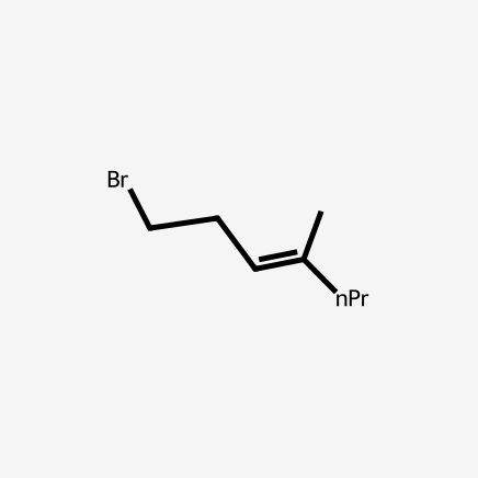 CCCC(C)=CCCBr